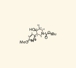 COc1ccc(C2CN(C(=O)OC(C)(C)C)CC(C)C2O)nn1